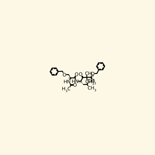 CC(=O)N[C@@H](COCc1ccccc1)C(=O)N[C@@H](CC(C)C)C(=O)C(C)(C)C(=O)OCc1ccccc1